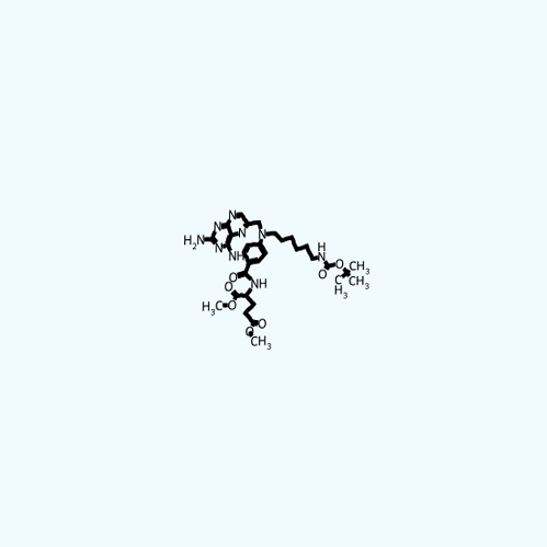 COC(=O)CCC(NC(=O)c1ccc(N(CCCCCCNC(=O)OC(C)(C)C)Cc2cnc3nc(N)nc(N)c3n2)cc1)C(=O)OC